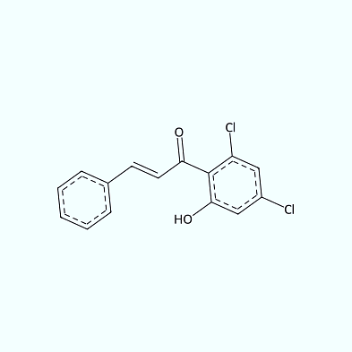 O=C(C=Cc1ccccc1)c1c(O)cc(Cl)cc1Cl